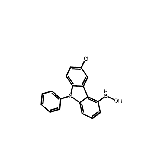 OBc1cccc2c1c1cc(Cl)ccc1n2-c1ccccc1